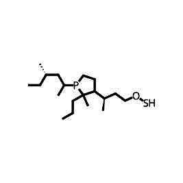 CCCC1(C)C([C@H](C)CCOS)CCP1C(C)C[C@@H](C)CC